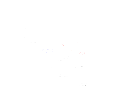 O=P(O)(O)c1c(/N=N/c2ccccc2)ccc2ccccc12